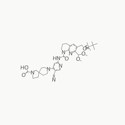 COC(OC)c1nc2c(cc1CO[Si](C)(C)C(C)(C)C)CCCN2C(=O)Nc1cc(N2CCC3(CCN(C(=O)O)C3)CC2)c(C#N)cn1